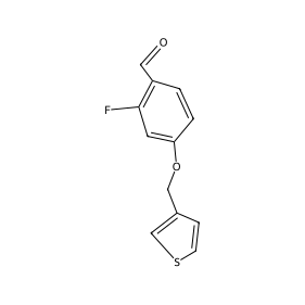 O=Cc1ccc(OCc2ccsc2)cc1F